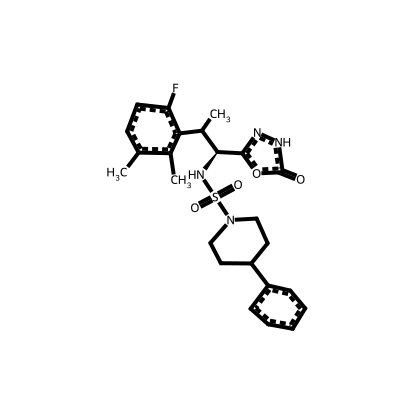 Cc1ccc(F)c(C(C)[C@H](NS(=O)(=O)N2CCC(c3ccccc3)CC2)c2n[nH]c(=O)o2)c1C